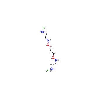 FNCC=NOCCCO/N=C\CNF